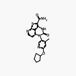 Cc1cc(OC2CCCC2)ncc1N1C(=O)Nc2c(C(N)=O)sc3nccc1c23